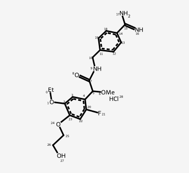 CCOc1cc(C(OC)C(=O)NCc2ccc(C(=N)N)cc2)c(F)cc1OCCO.Cl